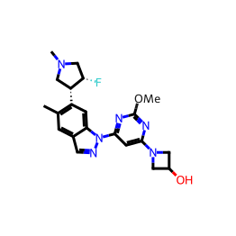 COc1nc(N2CC(O)C2)cc(-n2ncc3cc(C)c([C@@H]4CN(C)C[C@@H]4F)cc32)n1